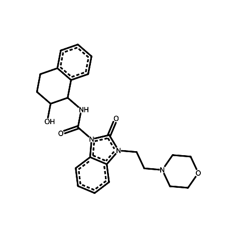 O=C(NC1c2ccccc2CCC1O)n1c(=O)n(CCN2CCOCC2)c2ccccc21